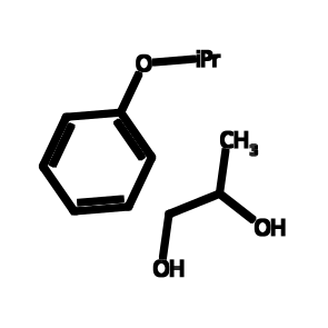 CC(C)Oc1ccccc1.CC(O)CO